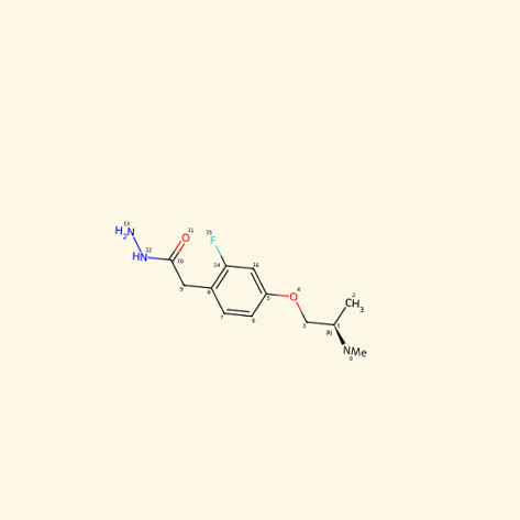 CN[C@H](C)COc1ccc(CC(=O)NN)c(F)c1